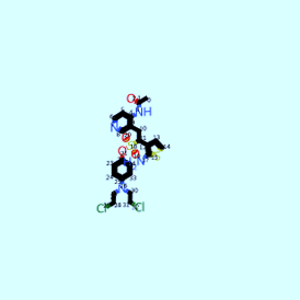 CC(=O)Nc1ccncc1CC(c1ccsc1N)S(=O)(=O)Oc1ccc(N(CCCl)CCCl)cc1